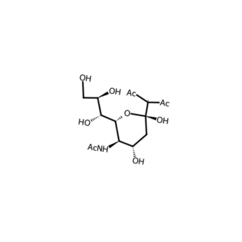 CC(=O)N[C@H]1[C@H]([C@H](O)[C@H](O)CO)O[C@](O)([C](C(C)=O)C(C)=O)C[C@@H]1O